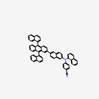 N#Cc1ccc(N(c2ccc3cc(-c4ccc5c(-c6cccc7ccccc67)c6ccccc6c(-c6cccc7ccccc67)c5c4)ccc3c2)c2cccc3ccccc23)cc1